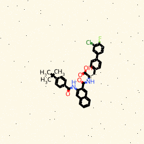 CC(C)(C)c1ccc(C(=O)Nc2cc3ccccc3cc2C(=O)N[C@@H](Cc2ccc(-c3ccc(F)c(Cl)c3)cc2)C(=O)O)cc1